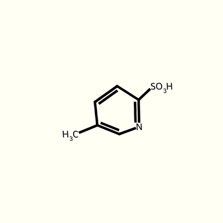 Cc1ccc(S(=O)(=O)O)nc1